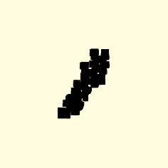 CCC1COC(c2ccc(-c3cc(F)c(-c4ccc(F)c(F)c4)c(F)c3)cc2)OC1